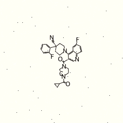 N#CC1(c2ccccc2F)CCN(c2c(C(=O)N3CCN(C(=O)C4CC4)CC3)cnc3ccc(F)cc23)CC1